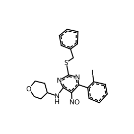 O=Nc1c(NC2CCOCC2)nc(SCc2ccccc2)nc1-c1ccccc1I